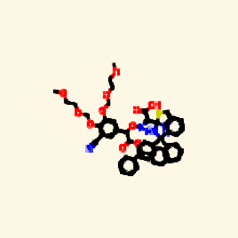 COCCOCOc1cc(C(O/N=C(\C(=O)O)C2(NC(c3ccccc3)(c3ccccc3)c3ccccc3)NC=CS2)C(=O)OC(c2ccccc2)c2ccccc2)cc(C#N)c1OCOCCOC